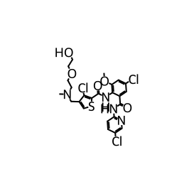 COc1cc(Cl)cc(C(=O)Nc2ccc(Cl)cn2)c1NC(=O)c1scc(CN(C)CCOCCO)c1Cl